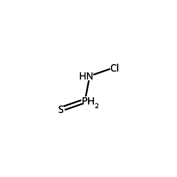 S=[PH2]NCl